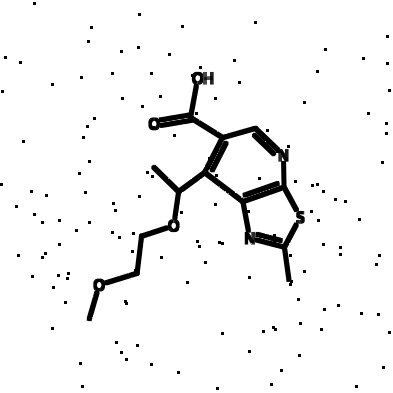 COCCOC(C)c1c(C(=O)O)cnc2sc(C)nc12